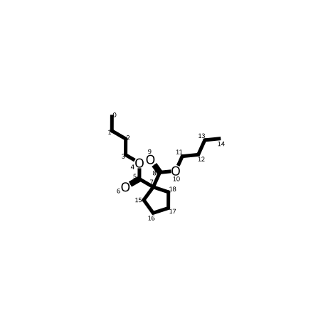 CCCCOC(=O)C1(C(=O)OCCCC)CCCC1